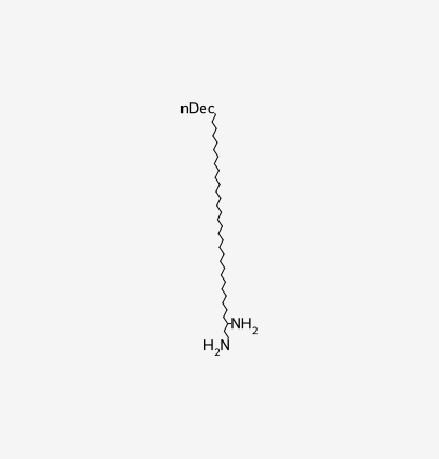 CCCCCCCCCCCCCCCCCCCCCCCCCCCCCCCCCCCCCCCCC(N)CCN